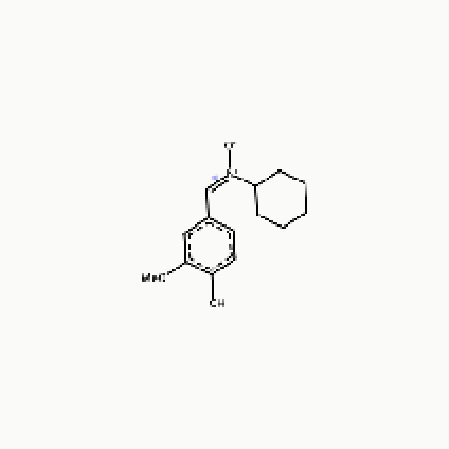 COc1cc(/C=[N+](/[O-])C2CCCCC2)ccc1O